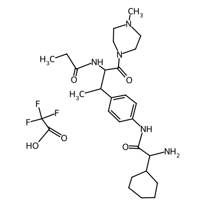 CCC(=O)NC(C(=O)N1CCN(C)CC1)C(C)c1ccc(NC(=O)C(N)C2CCCCC2)cc1.O=C(O)C(F)(F)F